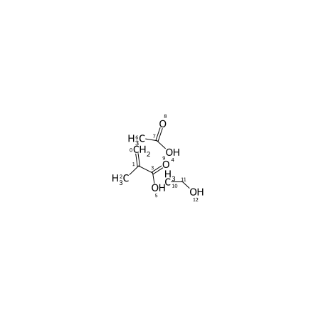 C=C(C)C(=O)O.CC(=O)O.CCO